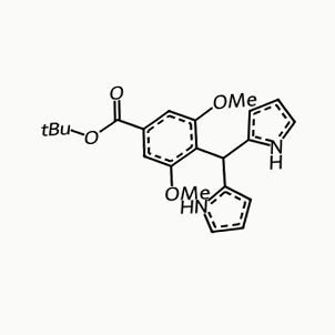 COc1cc(C(=O)OC(C)(C)C)cc(OC)c1C(c1ccc[nH]1)c1ccc[nH]1